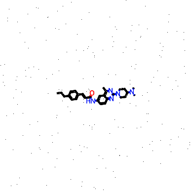 CCCc1ccc(C=CC(=O)Nc2ccc3nc(N4CCC(N(C)C)CC4)nc(C)c3c2)cc1